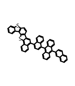 c1ccc2cc(-c3c4ccccc4c(-c4ccc(-c5cc6c7ccc8sc9ccccc9c8c7sc6c6ccccc56)c5ccccc45)c4ccccc34)ccc2c1